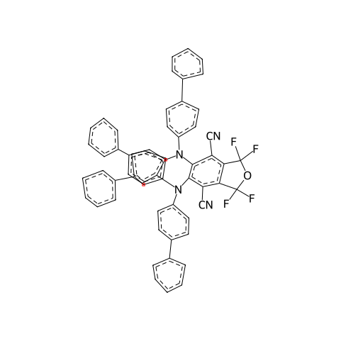 N#Cc1c(N(c2ccc(-c3ccccc3)cc2)c2ccc(-c3ccccc3)cc2)c(N(c2ccc(-c3ccccc3)cc2)c2ccc(-c3ccccc3)cc2)c(C#N)c2c1C(F)(F)OC2(F)F